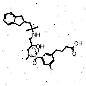 CN(C[C@H](O)CNC(C)(C)CC1Cc2ccccc2C1)S(=O)(=O)c1cc(F)cc(CCCC(=O)O)c1